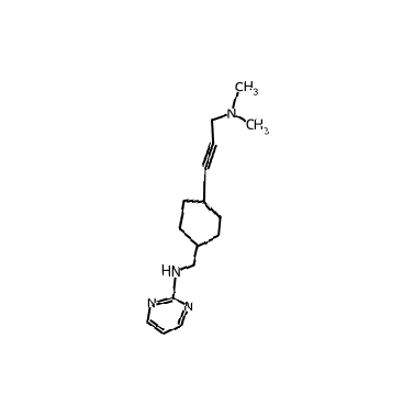 CN(C)CC#CC1CCC(CNc2ncccn2)CC1